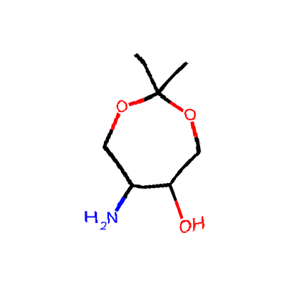 CC1(C)OCC(N)C(O)CO1